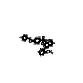 Cc1cccnc1-c1cc2cccnc2c(NS(=O)(=O)c2ccc(OCc3ccccc3)cc2)n1